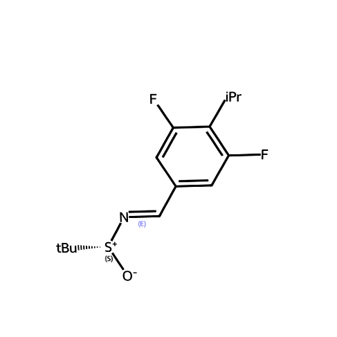 CC(C)c1c(F)cc(/C=N/[S@+]([O-])C(C)(C)C)cc1F